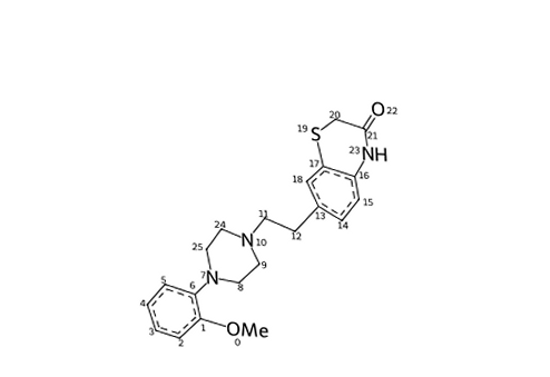 COc1ccccc1N1CCN(CCc2ccc3c(c2)SCC(=O)N3)CC1